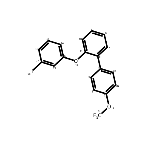 FC(F)(F)Oc1[c]cc(-c2ccccc2Oc2cccc(I)c2)cc1